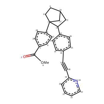 COC(=O)c1ccc(C23CCC(CC2c2ccc(C#Cc4ccccn4)cc2)C3)cc1